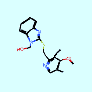 COc1c(C)cnc(CSc2nc3ccccc3n2CO)c1C